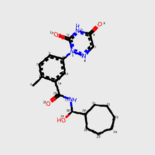 Cc1ccc(-n2ncc(=O)[nH]c2=O)cc1C(=O)NC(O)C1CCCCCC1